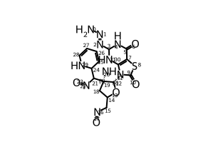 NN=NC1NC(=O)c2sc(=O)n([C@@H]3OC(CN=O)C[C@@]3(N)C(N=O)C3C=CC=CN3)c2N1